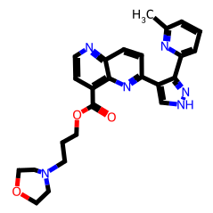 Cc1cccc(-c2n[nH]cc2-c2ccc3nccc(C(=O)OCCCN4CCOCC4)c3n2)n1